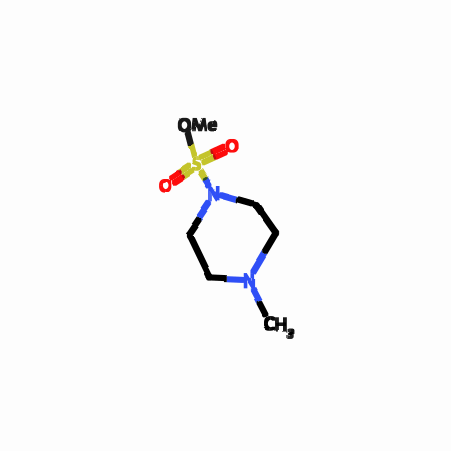 COS(=O)(=O)N1CCN(C)CC1